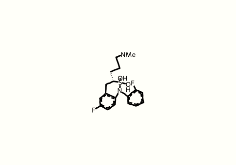 CNCCC[C@H]1Cc2cc(F)ccc2N(c2ccccc2F)S1(O)O